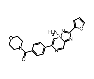 N[N+]12C=C(c3ccc(C(=O)N4CCOCC4)cc3)N=CC1=NC(c1ccco1)=N2